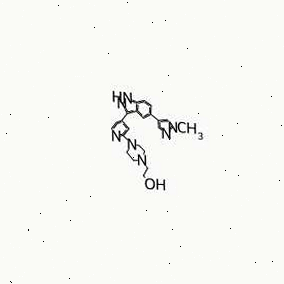 Cn1cc(-c2ccc3[nH]nc(-c4ccnc(N5CCN(CCO)CC5)c4)c3c2)cn1